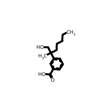 CCCCCC(C)(CO)c1cccc(C(=O)O)c1